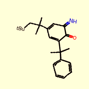 CC(C)(C)CC(C)(C)C1=CC(=N)C(=O)C(C(C)(C)c2ccccc2)=C1